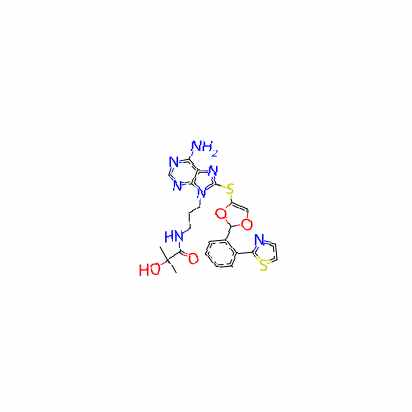 CC(C)(O)C(=O)NCCCn1c(SC2=COC(c3ccccc3-c3nccs3)O2)nc2c(N)ncnc21